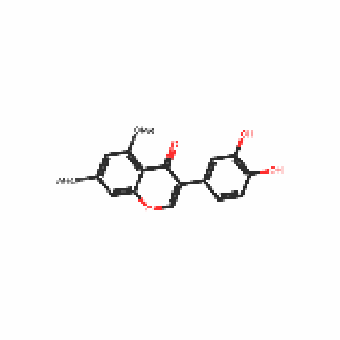 COc1cc(OC)c2c(=O)c(-c3ccc(O)c(O)c3)coc2c1